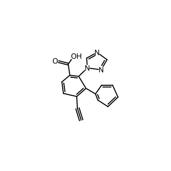 C#Cc1ccc(C(=O)O)c(-n2cncn2)c1-c1ccccc1